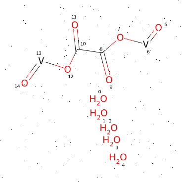 O.O.O.O.O.[O]=[V][O]C(=O)C(=O)[O][V]=[O]